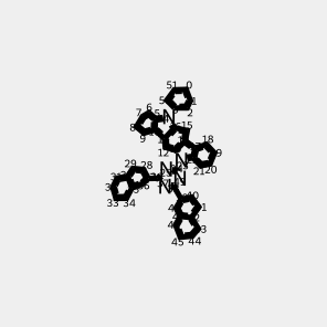 c1ccc(-n2c3ccccc3c3cc4c(cc32)c2ccccc2n4-c2nc(-c3ccc4ccccc4c3)nc(-c3ccc4ccccc4c3)n2)cc1